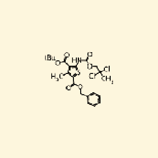 Cc1c(C(=O)OCc2ccccc2)sc(NC(=O)OCC(C)(Cl)Cl)c1C(=O)OC(C)(C)C